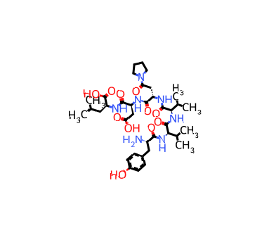 CC(C)C[C@H](NC(=O)[C@H](CC(=O)O)NC(=O)[C@H](CC(=O)N1CCCC1)NC(=O)[C@@H](NC(=O)[C@@H](NC(=O)[C@@H](N)Cc1ccc(O)cc1)C(C)C)C(C)C)C(=O)O